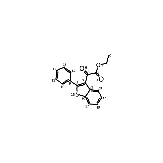 CCOC(=O)C(=O)c1c(-c2ccccc2)sc2ccccc12